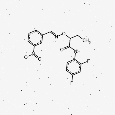 CCC(ON=Cc1cccc([N+](=O)[O-])c1)C(=O)Nc1ccc(F)cc1F